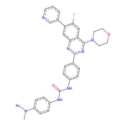 CC(=O)N(C)c1ccc(NC(=O)Nc2ccc(-c3nc(N4CCOCC4)c4cc(F)c(-c5cccnc5)cc4n3)cc2)cc1